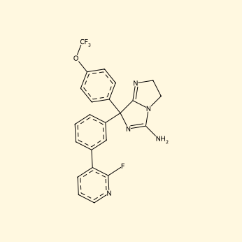 NC1=NC(c2ccc(OC(F)(F)F)cc2)(c2cccc(-c3cccnc3F)c2)C2=NCCN12